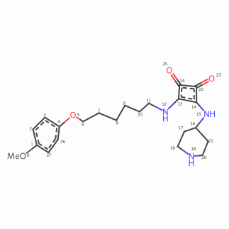 COc1ccc(OCCCCCCNc2c(NC3CCNCC3)c(=O)c2=O)cc1